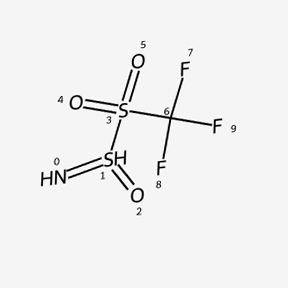 N=[SH](=O)S(=O)(=O)C(F)(F)F